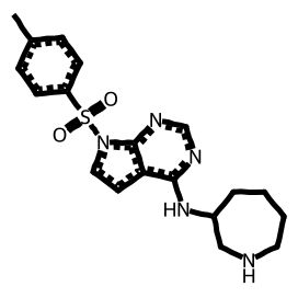 Cc1ccc(S(=O)(=O)n2ccc3c(NC4CCCCNC4)ncnc32)cc1